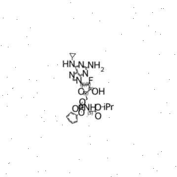 CC(C)OC(=O)[C@H](C)N[P@](=O)(OC[C@H]1O[C@@H](n2cnc3c(NC4CC4)nc(N)nc32)[C@H](F)[C@@H]1O)Oc1ccccc1